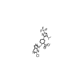 CC(C)n1cc(C(F)(F)F)nc1-c1ccc(Cn2ncc3cnc(Cl)nc32)c([N+](=O)[O-])c1